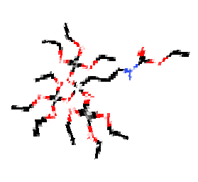 CCOC(=O)NCCC[Si](O[Si](OCC)(OCC)OCC)(O[Si](OCC)(OCC)OCC)O[Si](OCC)(OCC)OCC